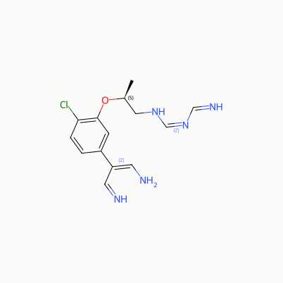 C[C@@H](CN/C=N\C=N)Oc1cc(/C(C=N)=C/N)ccc1Cl